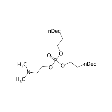 CCCCCCCCCCCCOP(=O)(OCCCCCCCCCCCC)OCCN(C)C